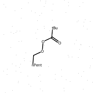 CCCCCCOOC(=O)C(C)(C)C